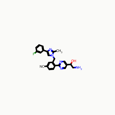 Cc1nc(-c2cccc(F)c2)cn1Cc1cc(C#N)ccc1-c1ncc(C(O)CN)cn1